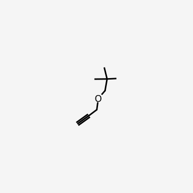 C#CCOCC(C)(C)C